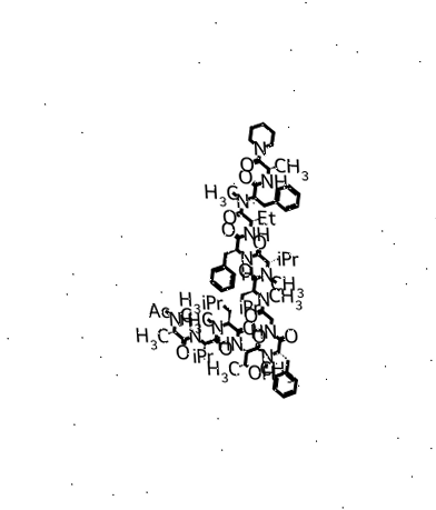 CC[C@H](NC(=O)[C@H](Cc1ccccc1)NC(=O)[C@H](C(C)C)N(C)C(=O)[C@H](CC(C)C)N(C)C(=O)CNC(=O)[C@H](Cc1ccccc1)N(C)C(=O)[C@@H](NC(=O)[C@H](CC(C)C)N(C)C(=O)[C@@H](NC(=O)[C@H](C)N(C)C(C)=O)C(C)C)[C@@H](C)O)C(=O)N(C)C(Cc1ccccc1)C(=O)N[C@@H](C)C(=O)N1CCCCC1